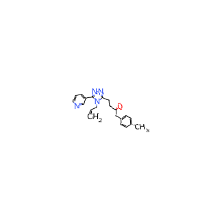 C=CCn1c(CCC(=O)Cc2ccc(C)cc2)nnc1-c1cccnc1